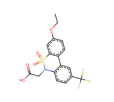 CCOc1ccc2c(c1)S(=O)(=O)N(CC(=O)O)c1ccc(C(F)(F)F)cc1-2